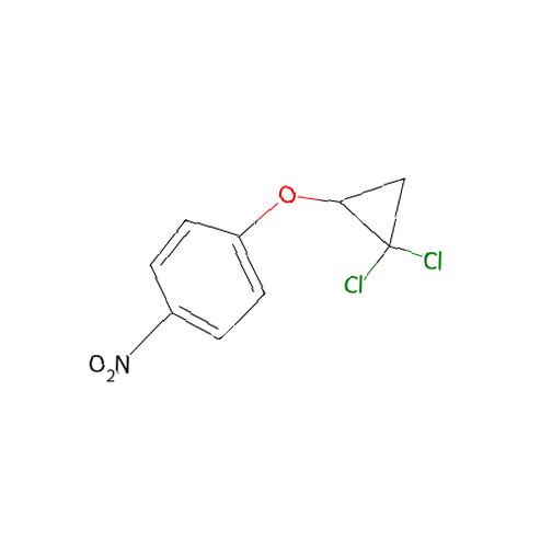 O=[N+]([O-])c1ccc(OC2CC2(Cl)Cl)cc1